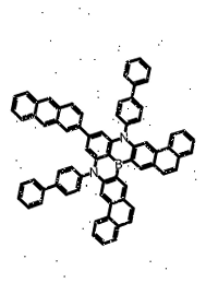 c1ccc(-c2ccc(N3c4cc5c(ccc6ccccc65)cc4B4c5cc6ccc7ccccc7c6cc5N(c5ccc(-c6ccccc6)cc5)c5cc(-c6ccc7cc8ccccc8cc7c6)cc3c54)cc2)cc1